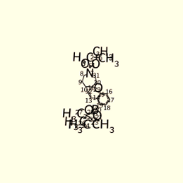 CC(C)(C)OC(=O)N1CCCC2(C=Cc3c(cccc3B3OC(C)(C)C(C)(C)O3)O2)CC1